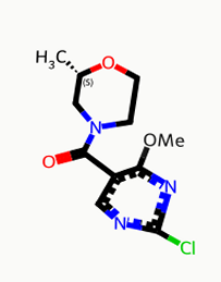 COc1nc(Cl)ncc1C(=O)N1CCO[C@@H](C)C1